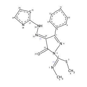 C/N=C(\SC)N1N=C(c2ccccc2)/C(=N\Nc2nccs2)C1=O